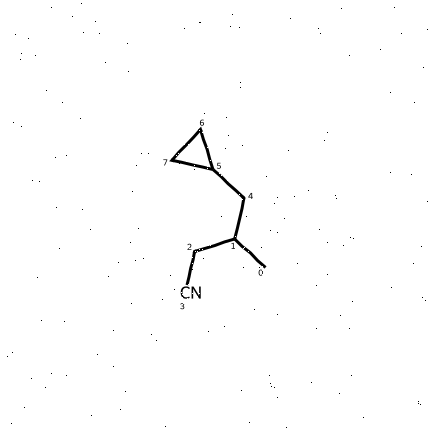 CC(CC#N)CC1CC1